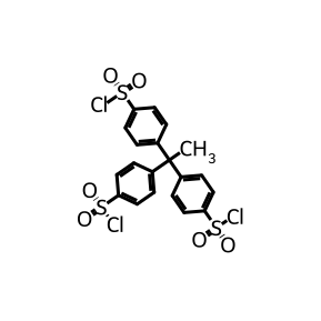 CC(c1ccc(S(=O)(=O)Cl)cc1)(c1ccc(S(=O)(=O)Cl)cc1)c1ccc(S(=O)(=O)Cl)cc1